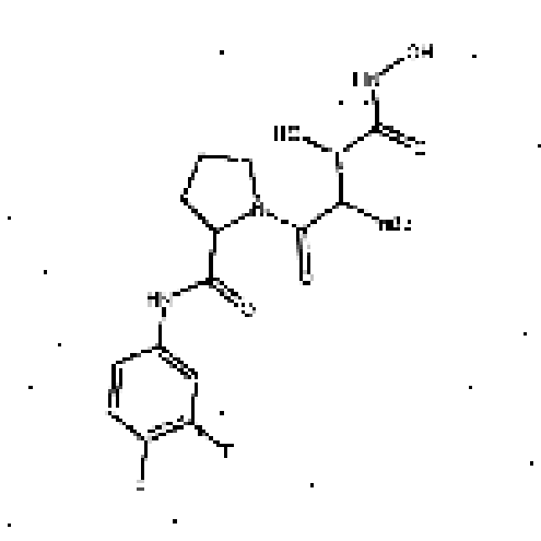 CCCCC(C(=O)N1CCCC1C(=O)Nc1ccc(F)c(F)c1)C(O)C(=O)NO